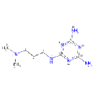 CN(C)CCCNc1nc(N)nc(N)n1